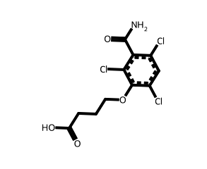 NC(=O)c1c(Cl)cc(Cl)c(OCCCC(=O)O)c1Cl